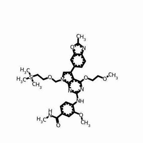 CNC(=O)c1ccc(Nc2nc(OCCOC)c3c(-c4ccc5nc(C)oc5c4)cn(COCC[Si](C)(C)C)c3n2)c(OC)c1